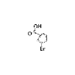 O=S(O)c1cccc(Br)c1